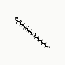 CCCCCCCCOCCCCCCCCC[O]